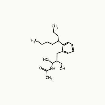 CCCCC(CCC)c1ccccc1CC(CO)C(O)NC(C)=O